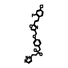 O=S(=O)(CCn1ccnn1)Cc1ccc(OCc2coc(C=Cc3ccc(Cl)cc3F)n2)cc1